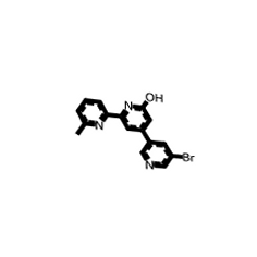 Cc1cccc(-c2cc(-c3cncc(Br)c3)cc(O)n2)n1